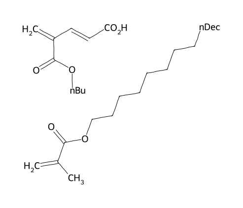 C=C(C)C(=O)OCCCCCCCCCCCCCCCCCC.C=C(C=CC(=O)O)C(=O)OCCCC